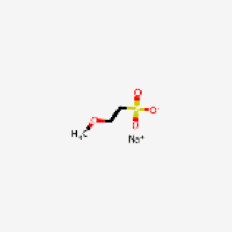 COCCS(=O)(=O)[O-].[Na+]